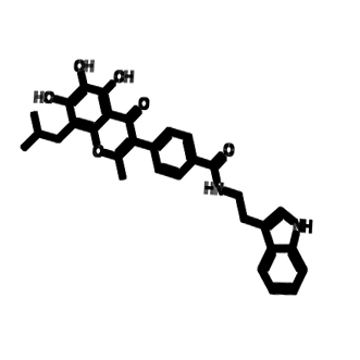 Cc1oc2c(CC(C)C)c(O)c(O)c(O)c2c(=O)c1-c1ccc(C(=O)NCCc2c[nH]c3ccccc23)cc1